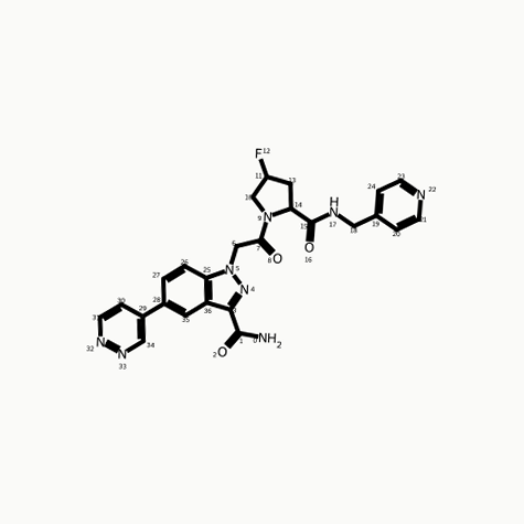 NC(=O)c1nn(CC(=O)N2CC(F)CC2C(=O)NCc2ccncc2)c2ccc(-c3ccnnc3)cc12